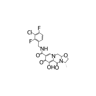 C[C@H]1COC2Cn3cc(C(=O)NCc4ccc(F)c(Cl)c4F)c(=O)c(O)c3C(=O)N21